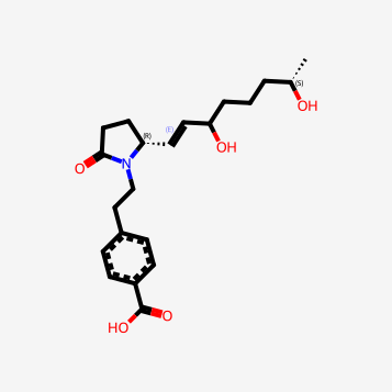 C[C@H](O)CCCC(O)/C=C/[C@H]1CCC(=O)N1CCc1ccc(C(=O)O)cc1